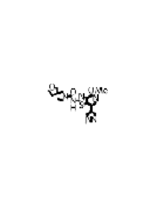 COc1ncc(-c2cnn(C)c2)c2sc(NC(=O)N3CC[C@@]4(CCOC4)C3)nc12